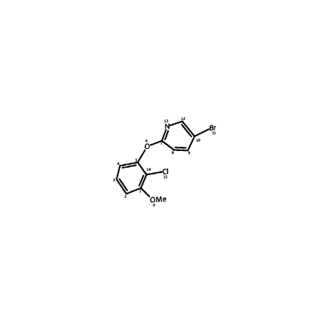 COc1cccc(Oc2ccc(Br)cn2)c1Cl